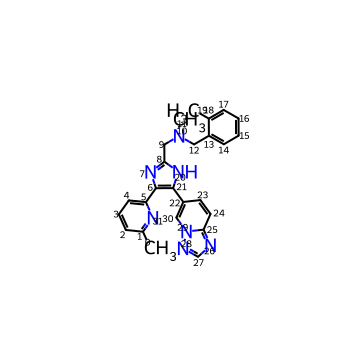 Cc1cccc(-c2nc(CN(C)Cc3ccccc3C)[nH]c2-c2ccc3ncnn3c2)n1